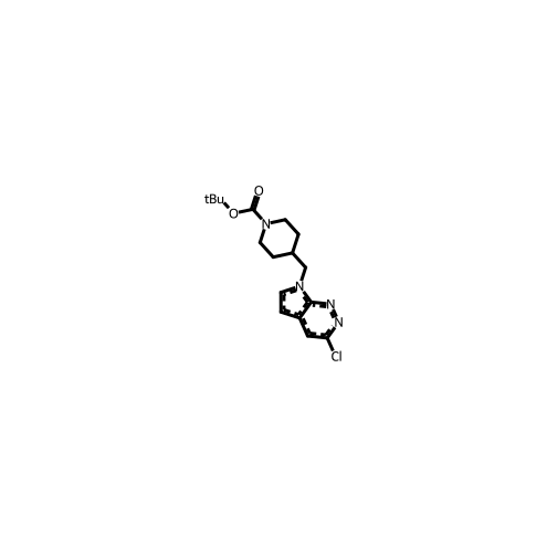 CC(C)(C)OC(=O)N1CCC(Cn2ccc3cc(Cl)nnc32)CC1